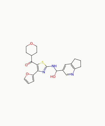 O=C(c1sc(NC(O)c2cnc3c(c2)CCC3)nc1-c1ccco1)C1CCOCC1